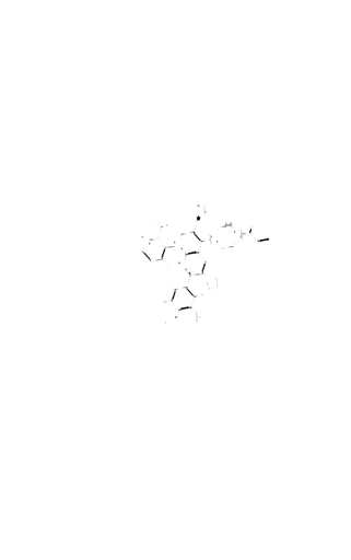 C=CC(=O)N1CCN(c2c(C#N)c(=O)n(C3=C(C)C=CNC3C(C)C)c3nc(-c4c(O)c(F)c(Cl)c(F)c4Cl)c(Cl)cc23)C[C@H]1C